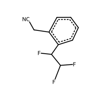 N#CCc1ccccc1C(F)C(F)F